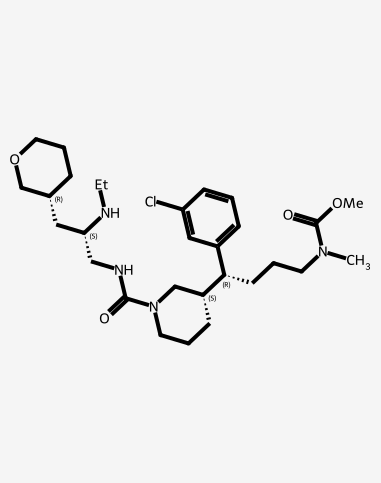 CCN[C@H](CNC(=O)N1CCC[C@@H]([C@@H](CCCN(C)C(=O)OC)c2cccc(Cl)c2)C1)C[C@H]1CCCOC1